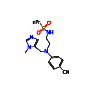 CCCS(=O)(=O)NCCN(Cc1cncn1C)c1ccc(C#N)cc1